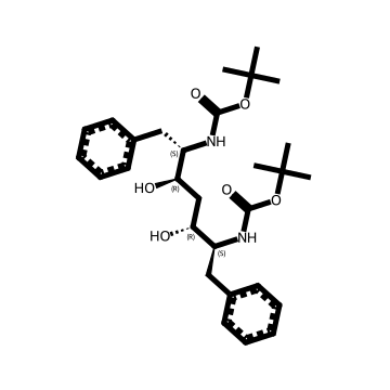 CC(C)(C)OC(=O)N[C@@H](Cc1ccccc1)[C@H](O)C[C@@H](O)[C@H](Cc1ccccc1)NC(=O)OC(C)(C)C